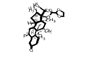 C[C@@H]1C[C@H]2[C@@H]3C[C@H](F)C4=CC(=O)C=C[C@]4(C)[C@@]3(F)[C@@H](O)C[C@]2(C)[C@@]1(OC(=O)C1OCCO1)C(=O)S